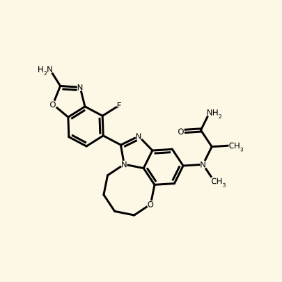 CC(C(N)=O)N(C)c1cc2c3c(c1)nc(-c1ccc4oc(N)nc4c1F)n3CCCCO2